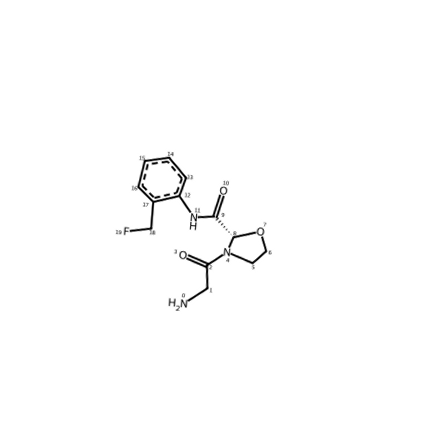 NCC(=O)N1CCO[C@H]1C(=O)Nc1ccccc1CF